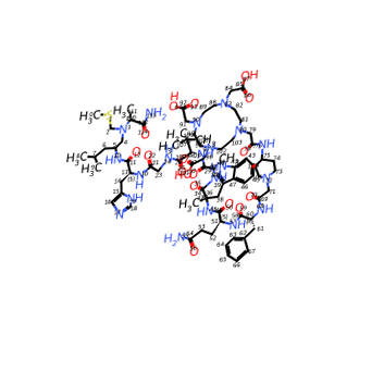 CSCN(CC(CC(C)C)NC(=O)[C@H](Cc1cnc[nH]1)NC(=O)CNC(=O)[C@@H](NC(=O)[C@H](C)NC(=O)[C@](C)(Cc1c[nH]c2ccccc12)NC(=O)[C@H](CCC(N)=O)NC(=O)[C@@H](Cc1ccccc1)NC(=O)CN1CCC(NC(=O)CN2CCN(CC(=O)O)CCN(CC(=O)O)CCN(CC(=O)O)CC2)CC1)C(C)(C)C)[C@@H](C)C(N)=O